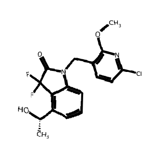 COc1nc(Cl)ccc1CN1C(=O)C(F)(F)c2c([C@H](C)O)cccc21